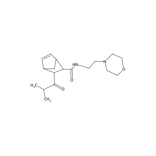 CC(C)C(=O)C1C2C=CC(C2)C1C(=O)NCCN1CCOCC1